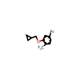 CC(=O)c1ccc(C(F)(F)F)c(OCC2CC2)c1